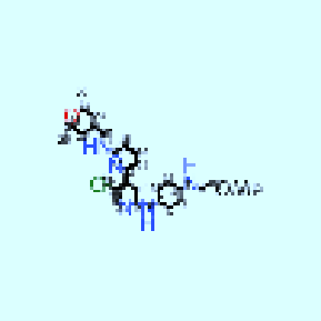 COCCN[C@H]1CC[C@H](Nc2cc(-c3cccc(NCC4C[C@@H](C)O[C@@H](C)C4)n3)c(Cl)cn2)CC1